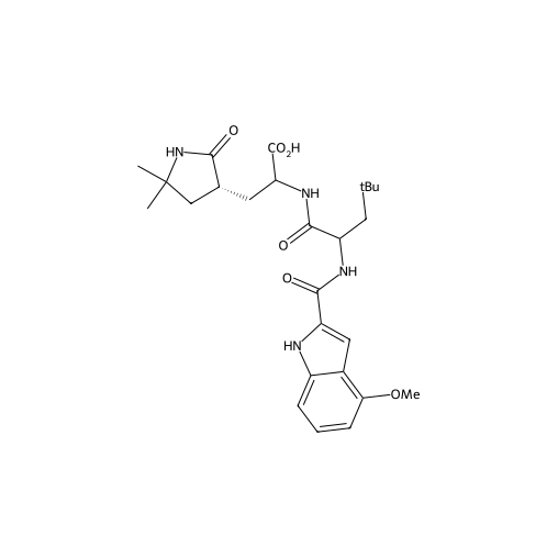 COc1cccc2[nH]c(C(=O)NC(CC(C)(C)C)C(=O)NC(C[C@@H]3CC(C)(C)NC3=O)C(=O)O)cc12